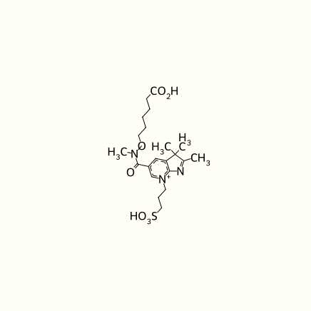 CC1=Nc2c(cc(C(=O)N(C)OCCCCCC(=O)O)c[n+]2CCCS(=O)(=O)O)C1(C)C